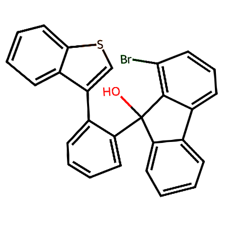 OC1(c2ccccc2-c2csc3ccccc23)c2ccccc2-c2cccc(Br)c21